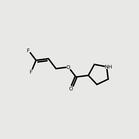 O=C(OCC=C(F)F)C1CCNC1